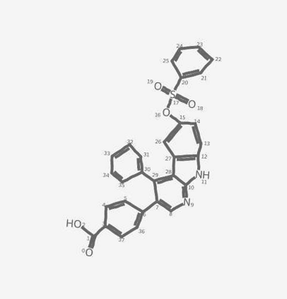 O=C(O)c1ccc(-c2cnc3[nH]c4ccc(OS(=O)(=O)c5ccccc5)cc4c3c2-c2ccccc2)cc1